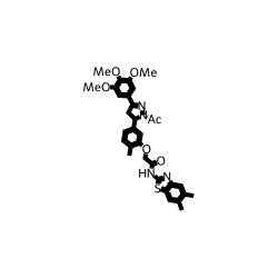 COc1cc(C2=NN(C(C)=O)C(c3ccc(C)c(OCC(=O)Nc4nc5cc(C)c(C)cc5s4)c3)C2)cc(OC)c1OC